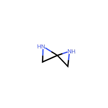 C1NC12CN2